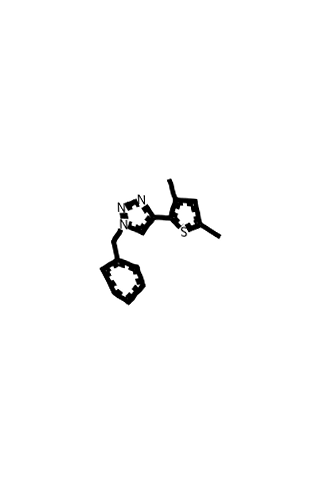 Cc1cc(C)c(-c2cn(Cc3ccccc3)nn2)s1